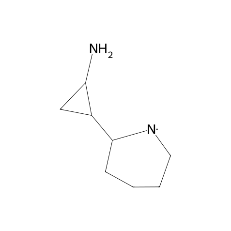 NC1CC1C1CCCC[N]1